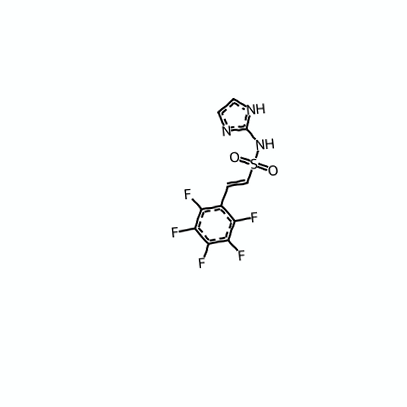 O=S(=O)(/C=C/c1c(F)c(F)c(F)c(F)c1F)Nc1ncc[nH]1